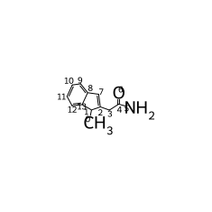 CC1C(CC(N)=O)=Cc2ccccc21